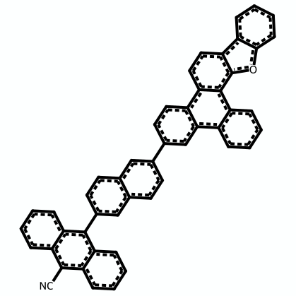 N#Cc1c2ccccc2c(-c2ccc3cc(-c4ccc5c(c4)c4ccccc4c4c5ccc5c6ccccc6oc54)ccc3c2)c2ccccc12